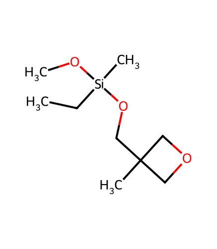 CC[Si](C)(OC)OCC1(C)COC1